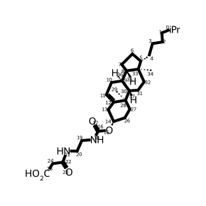 CC(C)CCCC[C@H]1CC[C@H]2[C@@H]3CC=C4C[C@@H](OC(=O)NCCNC(=O)CC(=O)O)CC[C@]4(C)[C@H]3CC[C@]12C